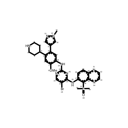 COc1cc(C2CCNCC2)c(-c2cnn(C)c2)cc1Nc1ncc(Br)c(Nc2ccc3nccnc3c2P(C)(C)=O)n1